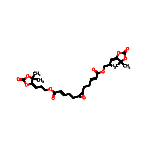 CC1(C)OC(=O)O/C1=C/CCOC(=O)C=CCCC1OC1CC/C=C/C(=O)OCC/C=C1/OC(=O)OC1(C)C